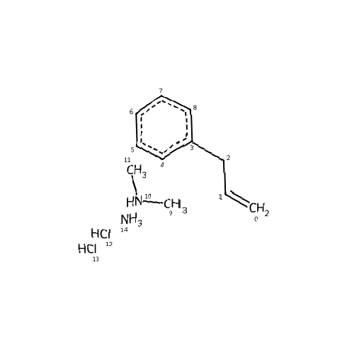 C=CCc1ccccc1.CNC.Cl.Cl.N